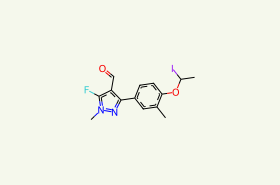 Cc1cc(-c2nn(C)c(F)c2C=O)ccc1OC(C)I